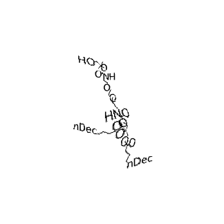 CCCCCCCCCCCCCC(=O)OC[C@H](COC(=O)NCCOCCOCCNC(=O)OC(C)(C)CO)OC(=O)CCCCCCCCCCCCC